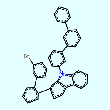 Brc1cccc(-c2ccccc2-c2ccc3c4ccccc4n(-c4cccc(-c5cccc(-c6ccccc6)c5)c4)c3c2)c1